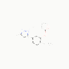 CCCCn1nc(C)cc1-c1ccc(OC)c(OC2CCCO2)c1